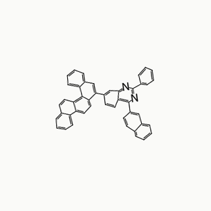 c1ccc(-c2nc(-c3ccc4ccccc4c3)c3ccc(-c4cc5ccccc5c5c4ccc4c6ccccc6ccc45)cc3n2)cc1